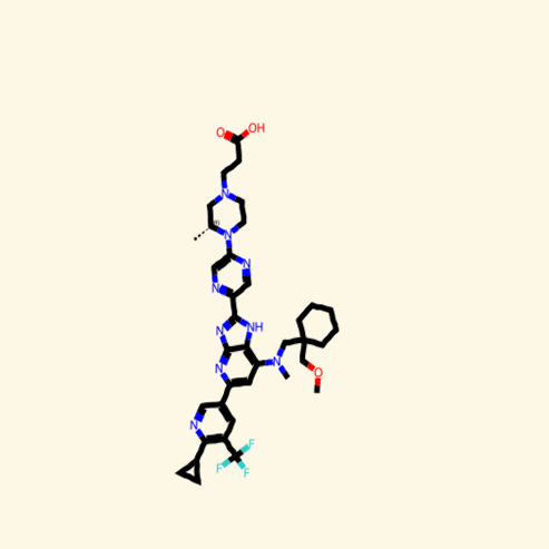 COCC1(CN(C)c2cc(-c3cnc(C4CC4)c(C(F)(F)F)c3)nc3nc(-c4cnc(N5CCN(CCC(=O)O)C[C@H]5C)cn4)[nH]c23)CCCCC1